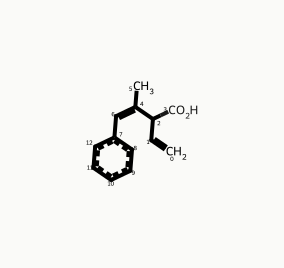 C=CC(C(=O)O)C(C)=Cc1ccccc1